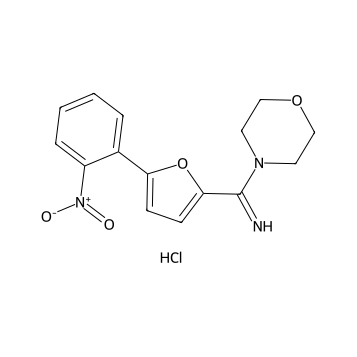 Cl.N=C(c1ccc(-c2ccccc2[N+](=O)[O-])o1)N1CCOCC1